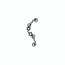 c1cc(OCCCCC2CO2)ccc1Cc1ccc(OCCCCC2CO2)cc1